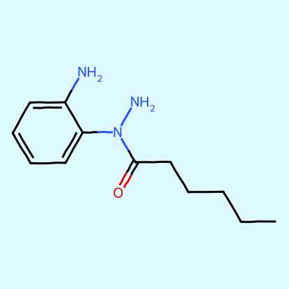 CCCCCC(=O)N(N)c1ccccc1N